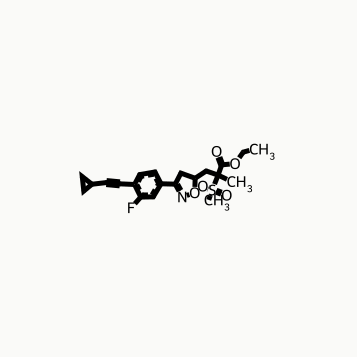 CCOC(=O)C(C)(CC1CC(c2ccc(C#CC3CC3)c(F)c2)=NO1)S(C)(=O)=O